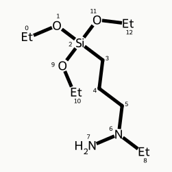 CCO[Si](CCCN(N)CC)(OCC)OCC